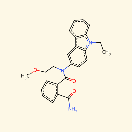 CCn1c2ccccc2c2cc(N(CCOC)C(=O)c3ccccc3C(N)=O)ccc21